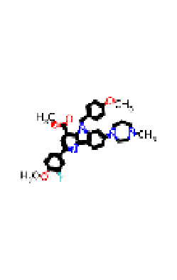 COC(=O)c1cc(-c2ccc(OC)c(F)c2)nc2c3ccc(N4CCCN(C)CC4)cc3n(Cc3ccc(OC)cc3)c12